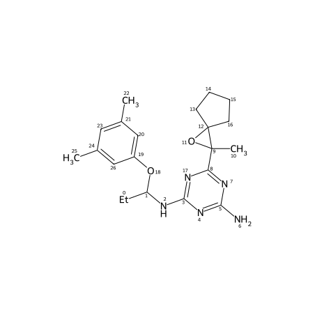 CCC(Nc1nc(N)nc(C2(C)OC23CCCC3)n1)Oc1cc(C)cc(C)c1